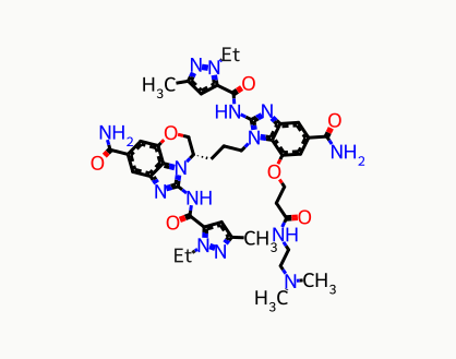 CCn1nc(C)cc1C(=O)Nc1nc2cc(C(N)=O)cc(OCCC(=O)NCCN(C)C)c2n1CCC[C@H]1COc2cc(C(N)=O)cc3nc(NC(=O)c4cc(C)nn4CC)n1c23